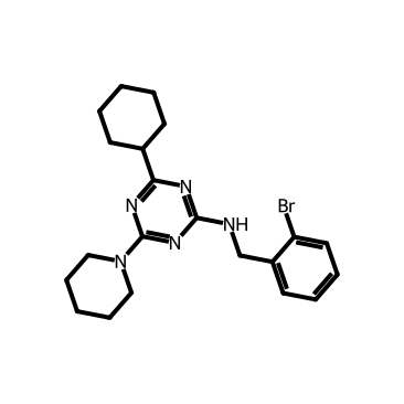 Brc1ccccc1CNc1nc(C2CCCCC2)nc(N2CCCCC2)n1